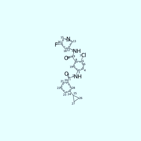 O=C(Nc1ccc(Cl)c(C(=O)Nc2cncc(F)c2)c1)c1cccc(C2CC2)c1